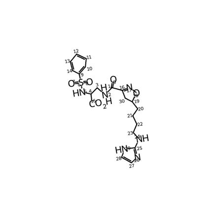 O=C(NCC(NS(=O)(=O)c1ccccc1)C(=O)O)C1=NOC(CCCCNc2ncc[nH]2)C1